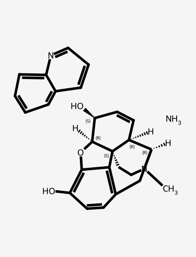 CN1CC[C@]23c4c5ccc(O)c4O[C@H]2[C@@H](O)C=C[C@H]3[C@H]1C5.N.c1ccc2ncccc2c1